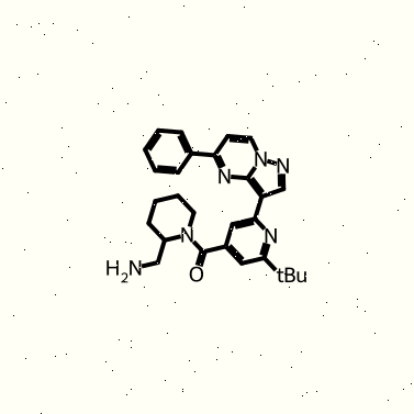 CC(C)(C)c1cc(C(=O)N2CCCCC2CN)cc(-c2cnn3ccc(-c4ccccc4)nc23)n1